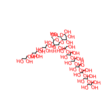 OCC(O)CO.OCC(O)CO.OCC(O)CO.OCC(O)CO.OCC(O)CO.OCC(O)CO.OCC(O)CO.OCC(O)CO.OCC(O)CO.OCC(O)CO.OC[C@H]1O[C@@H](O[C@H]2[C@H](O)[C@@H](O)[C@H](O)O[C@@H]2CO)[C@H](O)[C@@H](O)[C@H]1O